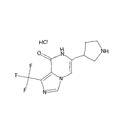 Cl.O=c1[nH]c(C2CCNC2)cn2cnc(C(F)(F)F)c12